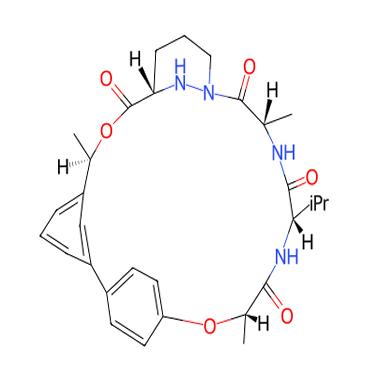 CC(C)[C@@H]1NC(=O)[C@H](C)Oc2ccc(cc2)-c2cccc(c2)[C@@H](C)OC(=O)[C@@H]2CCCN(N2)C(=O)[C@H](C)NC1=O